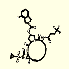 O=C(CCC(F)(F)F)N[C@H]1CCCCC/C=C\[C@@H]2C[C@@]2(C(=O)NS(=O)(=O)C2CC2)NC(=O)C2C[C@@H](OC(=O)N3Cc4cccc(F)c4C3)CN2C1=O